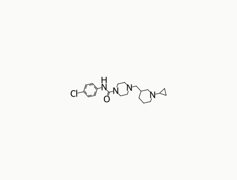 O=C(Nc1ccc(Cl)cc1)N1CCN(CC2CCCN(C3CC3)C2)CC1